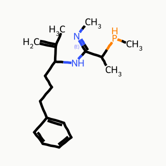 C=C(C)C(CCCc1ccccc1)N/C(=N/C)C(C)PC